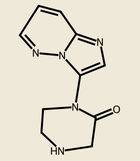 O=C1CNCCN1c1cnc2cccnn12